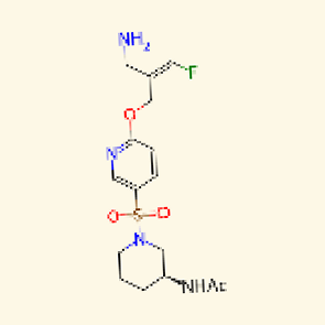 CC(=O)N[C@H]1CCCN(S(=O)(=O)c2ccc(OC/C(=C\F)CN)nc2)C1